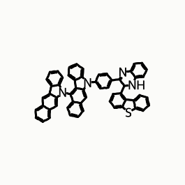 c1ccc2c(c1)N=C(c1ccc(-n3c4ccccc4c4c(-n5c6ccccc6c6cc7ccccc7cc65)c5ccccc5cc43)cc1)C(c1cccc3sc4ccccc4c13)N2